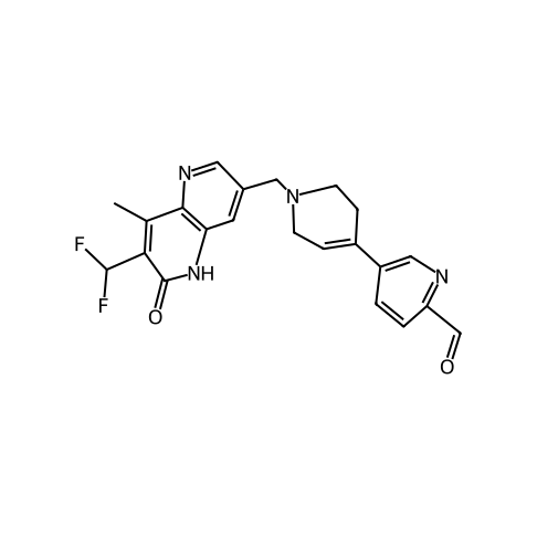 Cc1c(C(F)F)c(=O)[nH]c2cc(CN3CC=C(c4ccc(C=O)nc4)CC3)cnc12